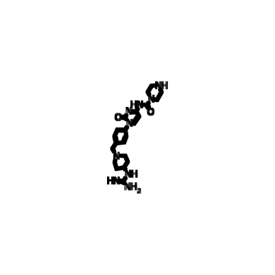 N=C(N)NC1CCN(Cc2ccc(-n3ccc(NC(=O)N4CCNCC4)nc3=O)cc2)CC1